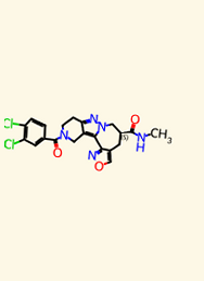 CNC(=O)[C@H]1Cc2conc2-c2c3c(nn2C1)CCN(C(=O)c1ccc(Cl)c(Cl)c1)C3